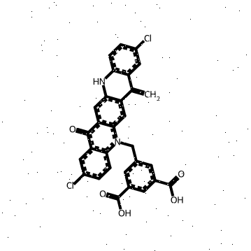 C=C1c2cc(Cl)ccc2Nc2cc3c(=O)c4cc(Cl)ccc4n(Cc4cc(C(=O)O)cc(C(=O)O)c4)c3cc21